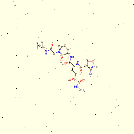 CNC(=O)C(=O)CC[C@H](NC(=O)c1nonc1N)C(=O)Nc1cccn(CC(=O)NC23CC(C2)C3)c1=O